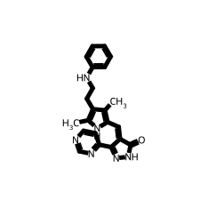 Cc1[nH]c(/C=C2/C(=O)NN=C2c2ccncn2)c(C)c1CCNc1ccccc1